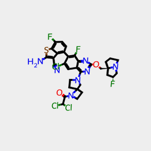 N#Cc1c(N)sc2c(F)ccc(-c3c(Cl)cc4c(N5CCC6(CCN6C(=O)C(Cl)Cl)C5)nc(OC[C@@]56CCCN5C[C@H](F)C6)nc4c3F)c12